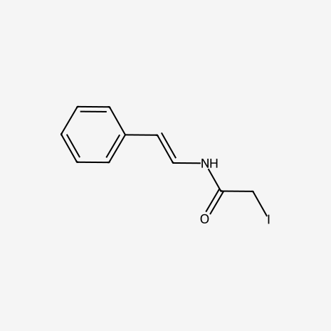 O=C(CI)NC=Cc1ccccc1